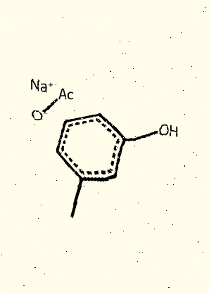 CC(=O)[O-].Cc1cccc(O)c1.[Na+]